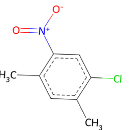 Cc1cc(C)c([N+](=O)[O-])cc1Cl